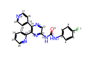 O=C(Nc1ccc(F)cc1)Nc1cnc(-c2ccncc2)c(-c2ccccn2)n1